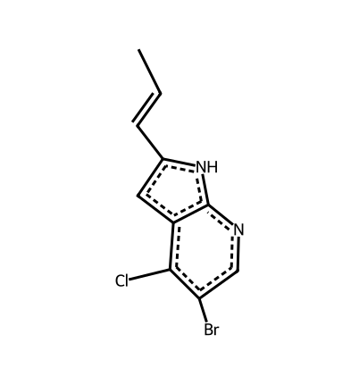 CC=Cc1cc2c(Cl)c(Br)cnc2[nH]1